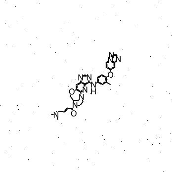 Cc1cc(Nc2ncnc3cc4c(nc23)N2CCN(C(=O)/C=C/CN(C)C)C(CO4)C2)ccc1Oc1ccn2ncnc2c1